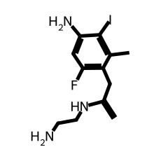 C=C(Cc1c(F)cc(N)c(I)c1C)NCCN